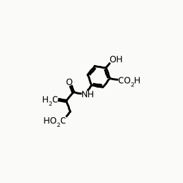 C=C(CC(=O)O)C(=O)Nc1ccc(O)c(C(=O)O)c1